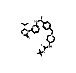 CC(C)[C@H]1COC(=O)N1c1ccnc(N[C@@H](C)c2ccc(CN3CCC(NC(=O)OC(C)(C)C)CC3)cc2)n1